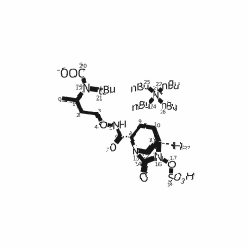 CC(CCONC(=O)[C@@H]1CC[C@@H]2CN1C(=O)N2OS(=O)(=O)O)N(C(=O)[O-])C(C)(C)C.CCCC[N+](CCCC)(CCCC)CCCC